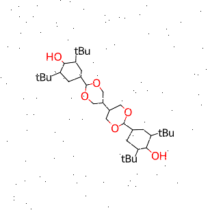 CC(C)(C)C1CC(C2OCC(C3COC(C4CC(C(C)(C)C)C(O)C(C(C)(C)C)C4)OC3)CO2)CC(C(C)(C)C)C1O